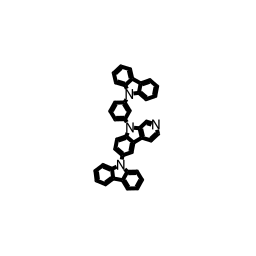 c1cc(-n2c3ccccc3c3ccccc32)cc(-n2c3ccc(-n4c5ccccc5c5ccccc54)cc3c3ccncc32)c1